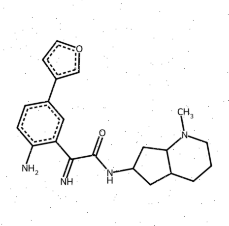 CN1CCCC2CC(NC(=O)C(=N)c3cc(-c4ccoc4)ccc3N)CC21